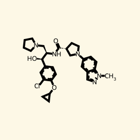 Cn1ncc2cc(N3CC[C@@H](C(=O)N[C@H](CN4CCCC4)[C@H](O)c4ccc(OC5CC5)c(Cl)c4)C3)ccc21